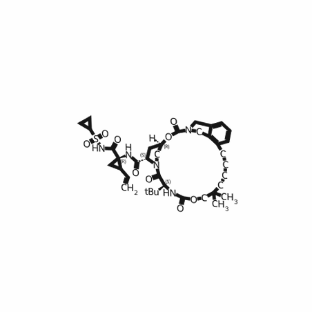 C=CC1C[C@]1(NC(=O)[C@@H]1C[C@@H]2CN1C(=O)[C@H](C(C)(C)C)NC(=O)OCC(C)(C)CCCCc1cccc3c1CN(C3)C(=O)O2)C(=O)NS(=O)(=O)C1CC1